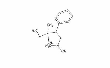 CCC(C)(C)C(CN(C)C)c1ccccc1